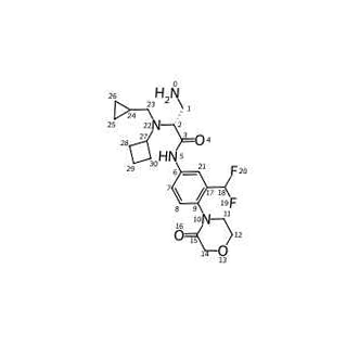 NC[C@H](C(=O)Nc1ccc(N2CCOCC2=O)c(C(F)F)c1)N(CC1CC1)C1CCC1